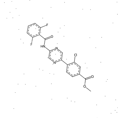 COC(=O)c1ccc(-c2cnc(NC(=O)c3c(F)cccc3F)cn2)c(Cl)c1